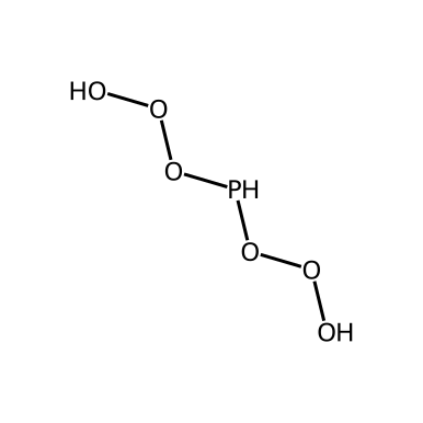 OOOPOOO